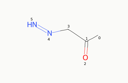 CC(=O)CN=N